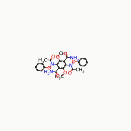 COc1c(C(N)=O)c(N(Oc2ccccc2)C(C)=O)c(OC)c(C(N)=O)c1N(Oc1ccccc1)C(C)=O